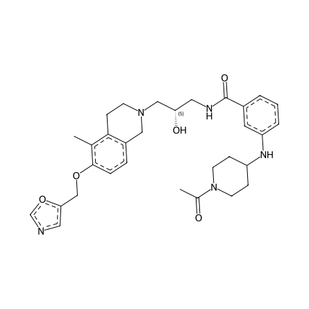 CC(=O)N1CCC(Nc2cccc(C(=O)NC[C@H](O)CN3CCc4c(ccc(OCc5cnco5)c4C)C3)c2)CC1